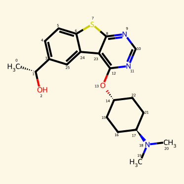 C[C@@H](O)c1ccc2sc3ncnc(O[C@H]4CC[C@H](N(C)C)CC4)c3c2c1